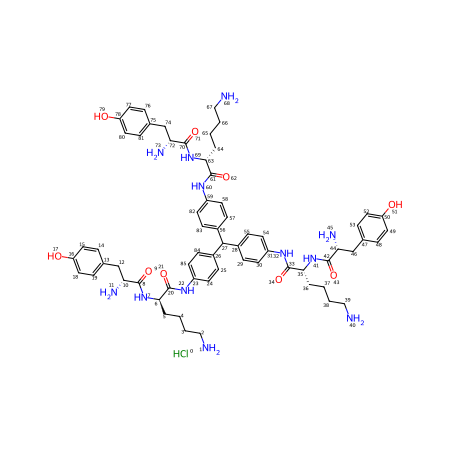 Cl.NCCCC[C@@H](NC(=O)[C@H](N)Cc1ccc(O)cc1)C(=O)Nc1ccc(C(c2ccc(NC(=O)[C@@H](CCCCN)NC(=O)[C@H](N)Cc3ccc(O)cc3)cc2)c2ccc(NC(=O)[C@@H](CCCCN)NC(=O)[C@H](N)Cc3ccc(O)cc3)cc2)cc1